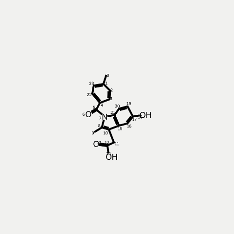 Cc1ccc(C(=O)n2c(C)c(CC(=O)O)c3cc(O)ccc32)cc1